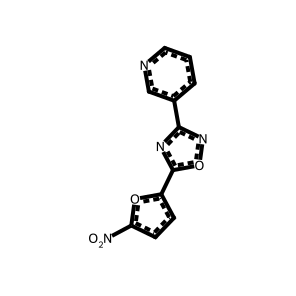 O=[N+]([O-])c1ccc(-c2nc(-c3cccnc3)no2)o1